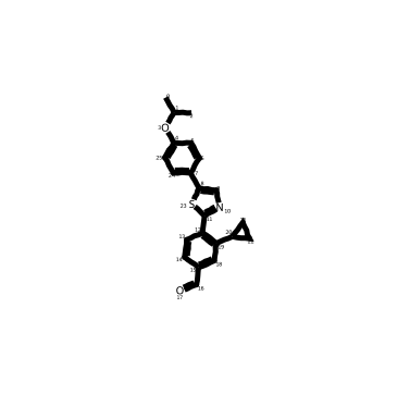 CC(C)Oc1ccc(-c2cnc(-c3ccc(C=O)cc3C3CC3)s2)cc1